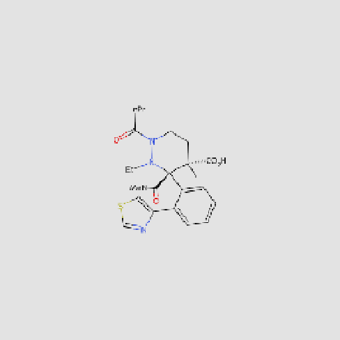 CCCC(=O)N1CC[C@](C)(C(=O)O)[C@](C(=O)NC)(c2ccccc2-c2cscn2)N1CC